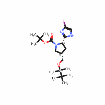 CC(C)(C)OC(=O)N1C[C@@H](CO[Si](C)(C)C(C)(C)C)C[C@H]1c1nc(I)c[nH]1